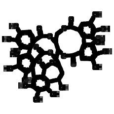 O=C1OCC2OC(=O)c3cc(O)c(O)c(O)c3-c3c(O)c(O)c(O)c4c3C(=O)OC(C3C[C@@H](O)c5c(O)c(O)c(O)c-4c5C(=O)O3)C2OC(=O)c2cc(O)c(O)c(O)c2-c2c1cc(O)c(O)c2O